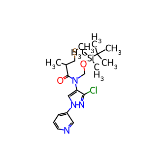 CSCC(C)C(=O)N(CO[Si](C)(C)C(C)(C)C)c1cn(-c2cccnc2)nc1Cl